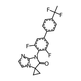 CC(F)(F)c1ccc(-c2cc(F)c(N3C(=O)C4(CC4)n4ccnc43)c(F)c2)cc1